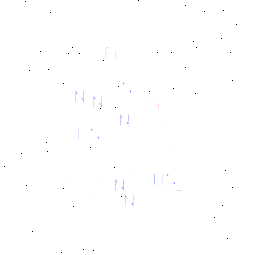 CCNCC1CC(Oc2nc(NCc3ccccc3-n3cccn3)n3ncc(C(C)C)c3n2)C1